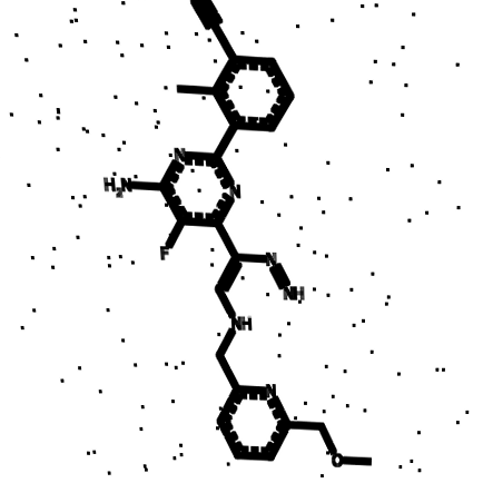 COCc1cccc(CN/C=C(\N=N)c2nc(-c3cccc(C#N)c3C)nc(N)c2F)n1